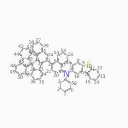 C1=CCCC(N(c2ccc3sc4ccccc4c3c2)c2ccc(-c3cc4ccccc4c4c3-c3ccccc3C4(c3ccccc3)c3ccccc3)c3ccccc23)=C1